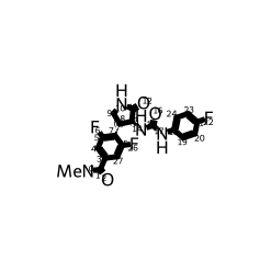 CNC(=O)c1cc(F)c([C@@H]2CNC(=O)[C@H]2NC(=O)Nc2ccc(F)cc2)c(F)c1